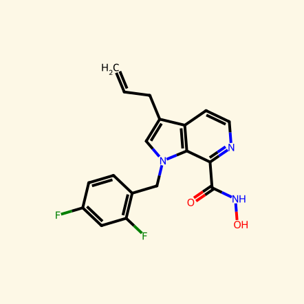 C=CCc1cn(Cc2ccc(F)cc2F)c2c(C(=O)NO)nccc12